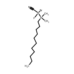 CCCCCCCCCCC[N+](C)(C)[B-](F)(Br)C#N